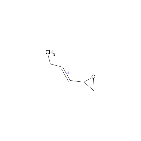 CC/C=C/C1CO1